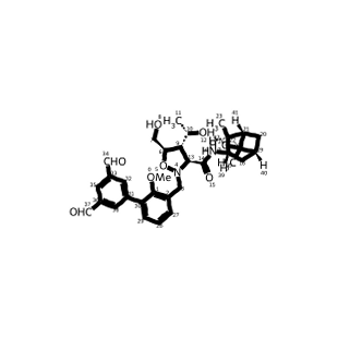 COc1c(CN2O[C@@H](CO)[C@H]([C@H](C)O)[C@H]2C(=O)N[C@H]2C[C@H]3C[C@@H]([C@@H]2C)C3(C)C)cccc1-c1cc(C=O)cc(C=O)c1